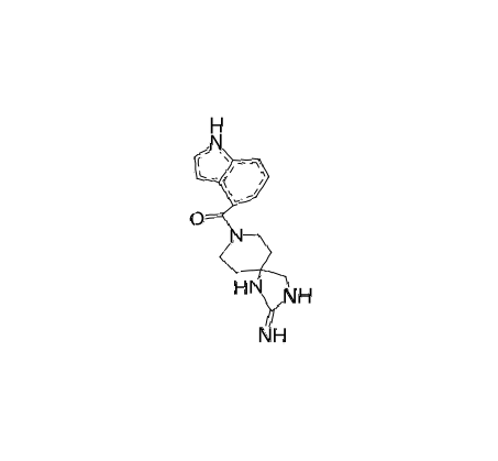 N=C1NCC2(CCN(C(=O)c3cccc4[nH]ccc34)CC2)N1